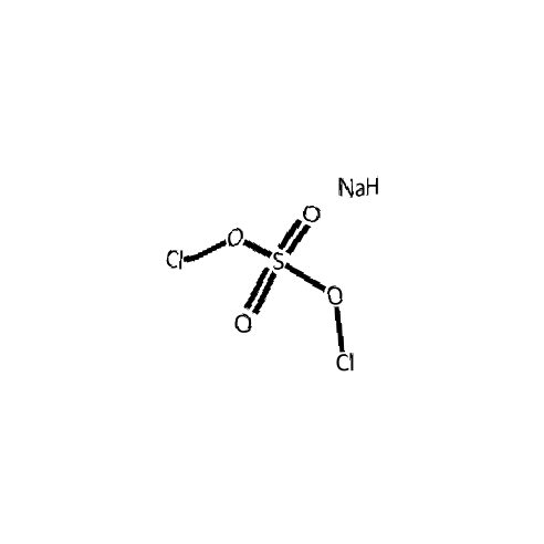 O=S(=O)(OCl)OCl.[NaH]